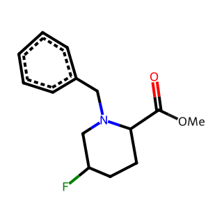 COC(=O)C1CCC(F)CN1Cc1ccccc1